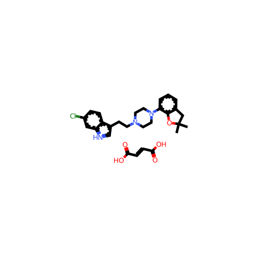 CC1(C)Cc2cccc(N3CCN(CCc4c[nH]c5cc(Cl)ccc45)CC3)c2O1.O=C(O)C=CC(=O)O